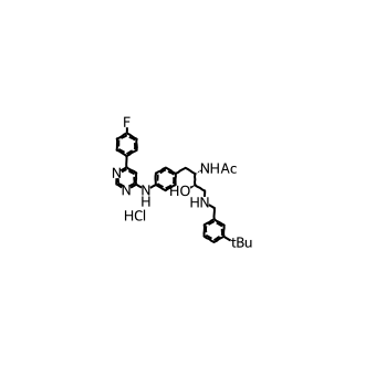 CC(=O)N[C@@H](Cc1ccc(Nc2cc(-c3ccc(F)cc3)ncn2)cc1)[C@H](O)CNCc1cccc(C(C)(C)C)c1.Cl